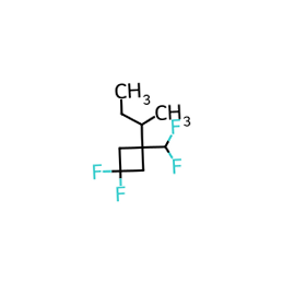 CCC(C)C1(C(F)F)CC(F)(F)C1